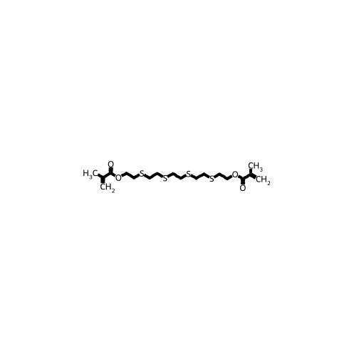 C=C(C)C(=O)OCCSCCSCCSCCSCCOC(=O)C(=C)C